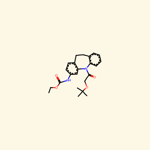 CCOC(=O)Nc1ccc2c(c1)N(C(=O)COC(C)(C)C)c1ccccc1CC2